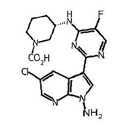 Nn1cc(-c2ncc(F)c(N[C@H]3CCCN(C(=O)O)C3)n2)c2cc(Cl)cnc21